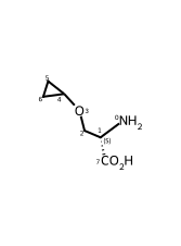 N[C@@H](COC1CC1)C(=O)O